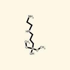 CO[Si](O)(CCCNCCN)OC